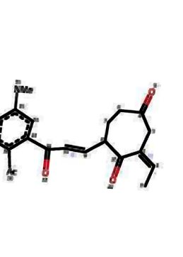 C/C=C1/CC(=O)CCC(/C=C/C(=O)c2cc(NC)ccc2C(C)=O)C1=O